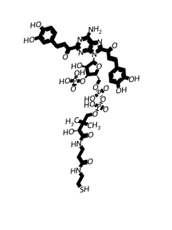 CC(C)(COP(=O)(O)OP(=O)(O)OC[C@H]1O[C@@H](n2c(C(=O)/C=C/c3ccc(O)c(O)c3)nc3c(N)nc(C(=O)/C=C/c4ccc(O)c(O)c4)nc32)[C@H](O)[C@@H]1OP(=O)(O)O)[C@@H](O)C(=O)NCCC(=O)NCCS